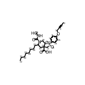 CC#CCOc1ccc(S(=O)(=O)CC2(C(=O)O)CCN(C(=O)NO)C(CCCCCCCC)C2)cc1